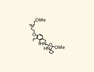 COCCN(C)CCOc1ccc(CNCNC2(C(=O)OC)CCC2)c(F)c1F